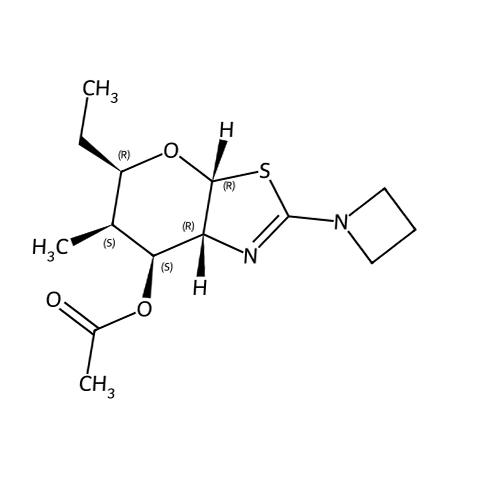 CC[C@H]1O[C@@H]2SC(N3CCC3)=N[C@@H]2[C@@H](OC(C)=O)[C@H]1C